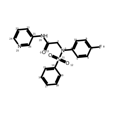 O=C(CN(c1ccc(F)cc1)S(=O)(=O)c1ccccc1)Nc1cccnc1